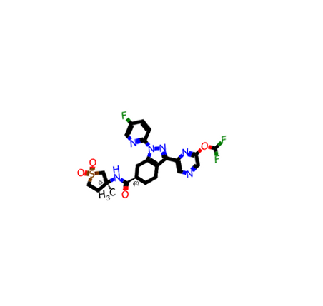 C[C@]1(NC(=O)[C@@H]2CCc3c(-c4cncc(OC(F)F)n4)nn(-c4ccc(F)cn4)c3C2)CCS(=O)(=O)C1